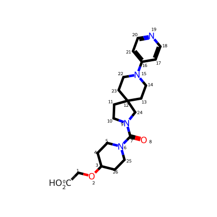 O=C(O)COC1CCN(C(=O)N2CCC3(CCN(c4ccncc4)CC3)C2)CC1